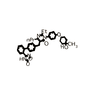 CCCc1nc(CC)n(-c2ccc(OC3CCC(C)(O)CC3)cc2)c(=O)c1Cc1ccc(-c2ccccc2-c2noc(=O)[nH]2)cc1